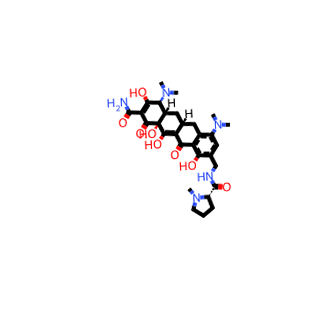 CN(C)c1cc(CNC(=O)[C@@H]2CCCN2C)c(O)c2c1C[C@H]1C[C@H]3[C@H](N(C)C)C(O)=C(C(N)=O)C(=O)[C@@]3(O)C(O)=C1C2=O